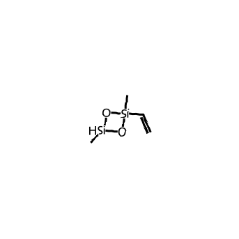 C=C[Si]1(C)O[SiH](C)O1